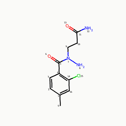 Cc1ccc(C(=O)N(N)CCC(N)=O)c(Cl)c1